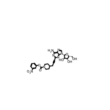 Nc1nc(C#CCC2CCN(C(=O)Oc3cccc([N+](=O)[O-])c3)CC2)nc2c1ncn2[C@@H]1O[C@H](CO)[C@H](O)C1O